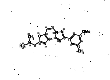 COc1cc(C)cc(-c2ncn(/C=C\c3nnc(CN(C)C)o3)n2)c1